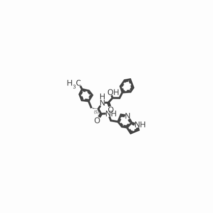 Cc1ccc(C[C@H](NC(=O)C(O)Cc2ccccc2)C(=O)NCc2cnc3[nH]ccc3c2)cc1